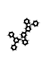 c1ccc(-c2cc(-c3ccccc3)cc(-n3c4ccccc4c4cc(-c5ccc6c(c5)c5ccccc5n6-c5ccccc5)ccc43)c2)cc1